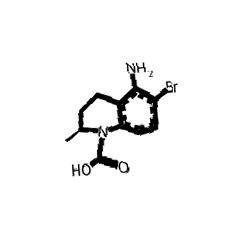 C[C@H]1CCc2c(ccc(Br)c2N)N1C(=O)O